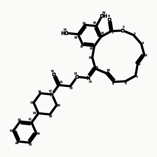 O=C1OCC/C=C/CC/C=C/C(=N/OCC(=O)N2CCC(c3ccccc3)CC2)Cc2cc(O)cc(O)c21